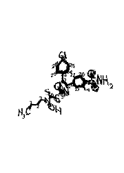 CCCCN(O)C(=S)Sc1nc(-c2ccc(S(N)(=O)=O)cc2)c(-c2ccc(Cl)cc2)o1